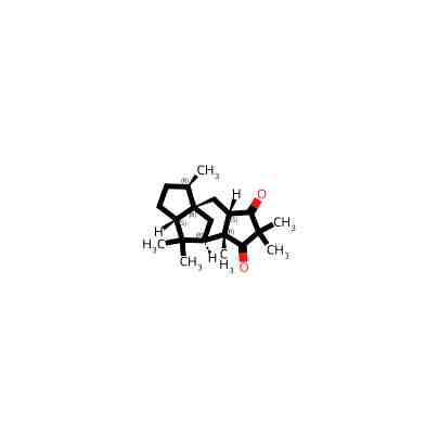 C[C@@H]1CC[C@H]2C(C)(C)[C@H]3C[C@@]12C[C@@H]1C(=O)C(C)(C)C(=O)[C@@]13C